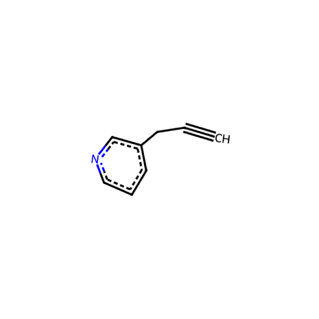 C#CCc1cccnc1